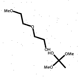 COC(C)(O)OC.COCCOCCO